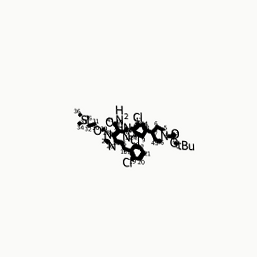 CC(C)(C)OC(=O)N1CCC(c2ccc(Nc3nc(Cc4c(Cl)cccc4Cl)c4ncn(COCC[Si](C)(C)C)c4c3C(N)=O)c(Cl)c2)CC1